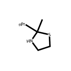 CCCC1(C)NCCS1